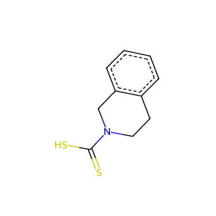 S=C(S)N1CCc2ccccc2C1